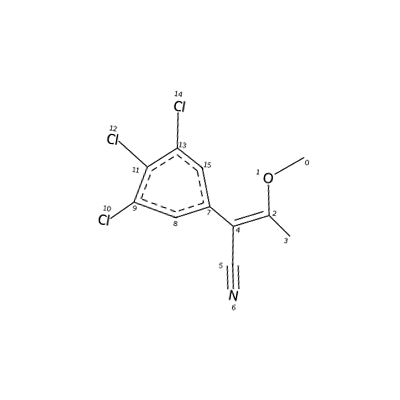 COC(C)=C(C#N)c1cc(Cl)c(Cl)c(Cl)c1